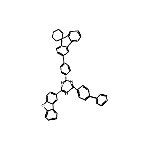 c1ccc(-c2ccc(-c3nc(-c4ccc(-c5ccc6c(c5)-c5ccccc5C65CCCCC5)cc4)nc(-c4ccc5oc6ccccc6c5c4)n3)cc2)cc1